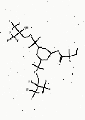 CCC(C)(C)C(=O)OC1CC(C(C)(C)OCC(O)(C(F)(F)F)C(F)(F)F)CC(C(C)(C)OCC(O)(C(F)(F)F)C(F)(F)F)C1